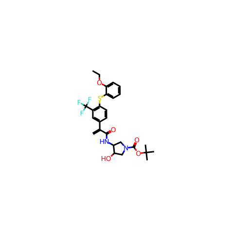 C=C(C(=O)NC1CN(C(=O)OC(C)(C)C)CC1O)c1ccc(Sc2ccccc2OCC)c(C(F)(F)F)c1